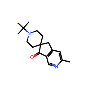 Cc1cc2c(cn1)C(=O)C1(CCN(C(C)(C)C)CC1)C2